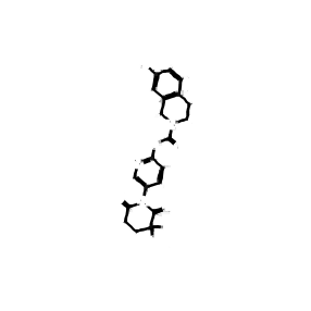 CC1(C)CCC(=O)N(c2ccc(OC(=O)N3CCc4ccc(F)cc4C3)nc2)C1=O